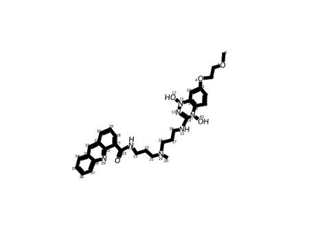 COCCOc1ccc2c(c1)N(O)N=C(NCCCN(C)CCCNC(=O)c1cccc3cc4ccccc4nc13)N2O